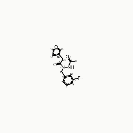 CC(=O)NN(Cc1cccc(F)c1)C(=O)Cc1ccoc1